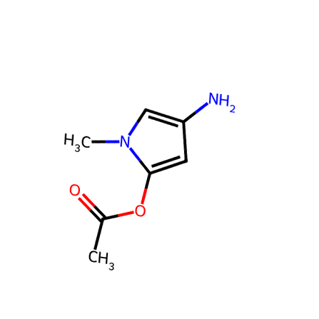 CC(=O)Oc1cc(N)cn1C